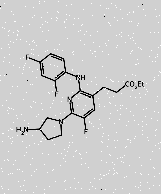 CCOC(=O)CCc1cc(F)c(N2CCC(N)C2)nc1Nc1ccc(F)cc1F